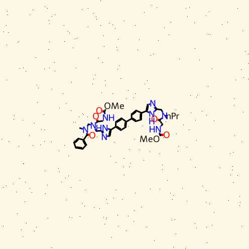 CCCN(Cc1ncc(-c2ccc(-c3ccc(-c4cnc(CN(CN(C)C(=O)c5ccccc5)C(=O)CNC(=O)OC)[nH]4)cc3)cc2)[nH]1)C(=O)CNC(=O)OC